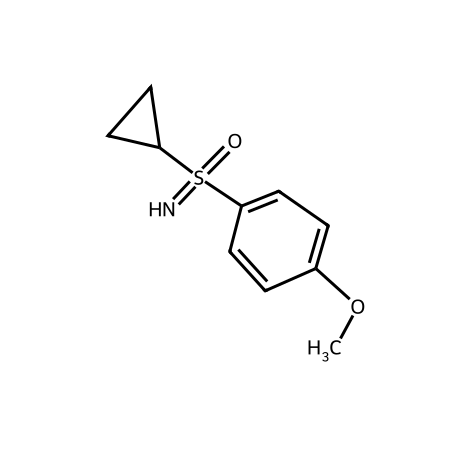 COc1ccc(S(=N)(=O)C2CC2)cc1